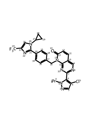 CC(C)n1ncc(Cl)c1-c1ncc2ccc(=O)n(Cc3ccc(-c4nc(C(F)(F)F)cn4C4CC4)cc3)c2n1